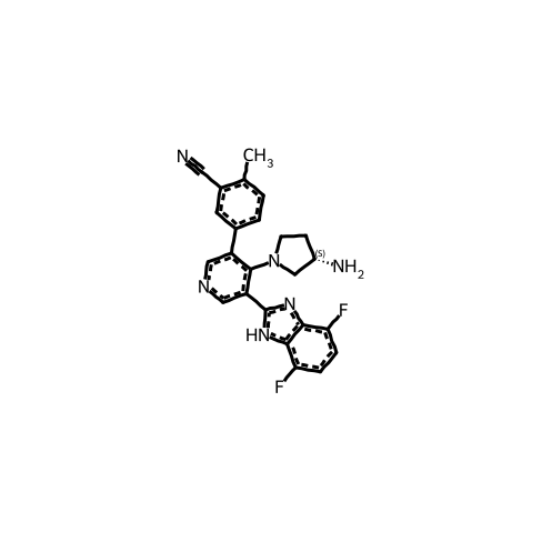 Cc1ccc(-c2cncc(-c3nc4c(F)ccc(F)c4[nH]3)c2N2CC[C@H](N)C2)cc1C#N